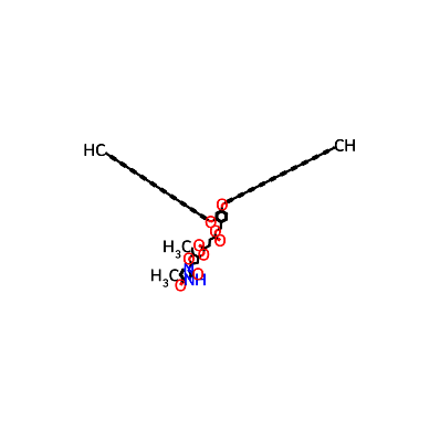 C#CC#CC#CC#CC#CC#CC#CC#CC#CC#CC#COc1ccc(COC(=O)CCC(=O)OC2CC(n3cc(C)c(=O)[nH]c3=O)OC2CC)c(OC#CC#CC#CC#CC#CC#CC#CC#CC#CC#CC#C)c1